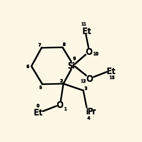 CCOC1(CC(C)C)CCCC[Si]1(OCC)OCC